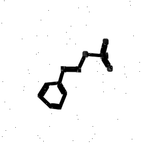 O=[SH](=O)ON=Nc1ccccc1